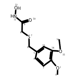 COc1ccc(CSCC(=O)NO)cc1OC